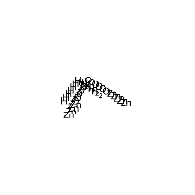 O.O.O.O.O.O.O.O.O.O.O.O.[Zn].[Zn].[Zn].[Zn].[Zn].[Zn].[Zn].[Zn].[Zn]